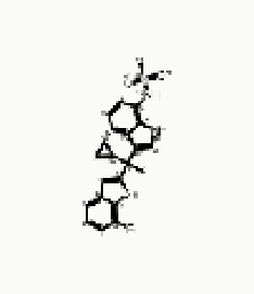 CC(c1cc2cccc(F)c2s1)(c1c[nH]c2c(NS(C)(=O)=O)cccc12)C1CC1